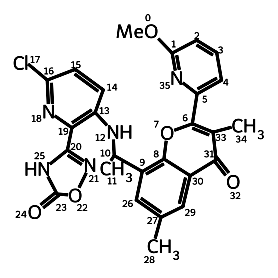 COc1cccc(-c2oc3c(C(C)Nc4ccc(Cl)nc4-c4noc(=O)[nH]4)cc(C)cc3c(=O)c2C)n1